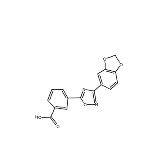 O=C(O)c1cccc(-c2nc(-c3ccc4c(c3)OCO4)no2)c1